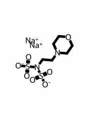 O=S(=O)([O-])N(CCN1CCOCC1)S(=O)(=O)[O-].[Na+].[Na+]